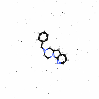 c1ccc(CN2CCN3c4ncccc4CC3C2)cc1